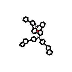 c1ccc(-c2ccc3c(c2)c2ccccc2n3-c2ccccc2-c2ccc(N(c3ccc(-c4ccc5ccccc5c4)cc3)c3ccc(-c4ccc5ccccc5c4)cc3)cc2)cc1